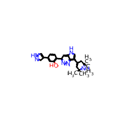 CC1(C)C=C(c2c[nH]c3cc(-c4ccc(-c5cn[nH]c5)cc4O)nnc23)CC(C)(C)N1